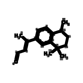 CC(=CC=O)c1ccc2c(c1)C(C)(C)CCN2C